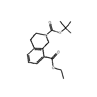 CCOC(=O)c1cccc2c1CN(C(=O)OC(C)(C)C)CC2